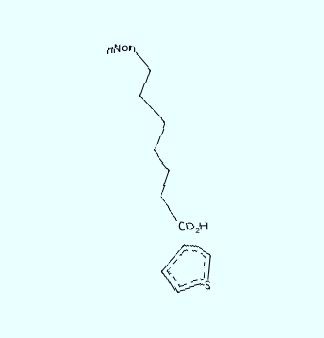 CCCCCCCCCCCCCCCC(=O)O.c1ccsc1